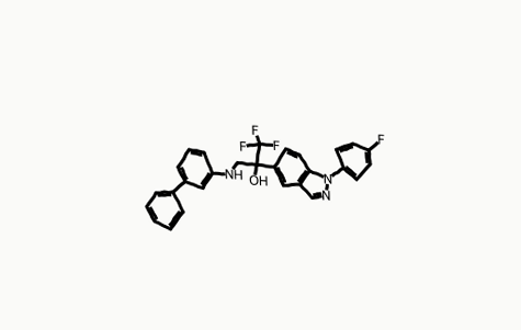 OC(CNc1cccc(-c2ccccc2)c1)(c1ccc2c(cnn2-c2ccc(F)cc2)c1)C(F)(F)F